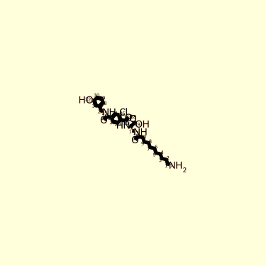 NCCCCCCCCCCC(=O)NC[C@H](NC(=O)c1ccc(C(=O)NCc2cccc(O)c2)cc1Cl)C(=O)O